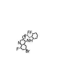 Fc1ccccc1[C@H](Nc1c(Cl)cnc2c(F)cc(Br)cc12)C(F)F